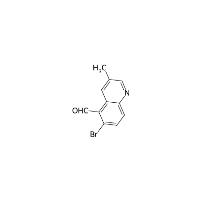 Cc1cnc2ccc(Br)c(C=O)c2c1